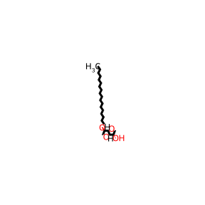 CCCCCCCCCCCCCCCCCCO[C@@H]1CO[C@H]2[C@@H]1OC[C@@H]2O